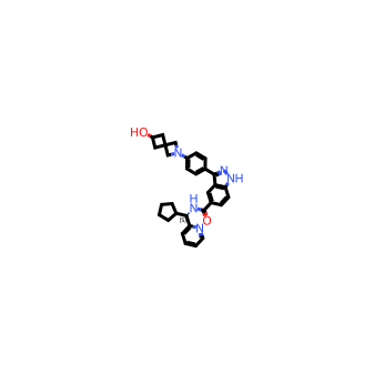 O=C(N[C@H](c1ccccn1)C1CCCC1)c1ccc2[nH]nc(-c3ccc(N4CC5(CC(O)C5)C4)cc3)c2c1